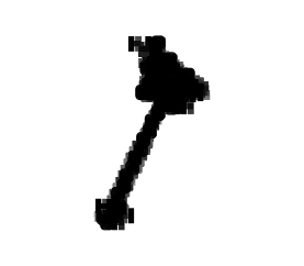 CC[C@@]1(O)C(=O)OCc2c1cc1n(c2=O)Cc2c-1nc1cc(F)c(C)c3c1c2[C@@H](NC(=O)OCc1ccc(NC(=O)[C@H](CCCNC(N)=O)NC(=O)[C@@H](NC(=O)CCc2ccc(N4C(=O)C=CC4=O)cc2C(=O)NCC(=O)NCC(=O)NCCOCCOCCOCCOCCOCCOCCOCCOCCOCCOCCOCCOCCC(=O)N[C@@H](CCC(=O)O)C(=O)O)C(C)C)cc1)CC3